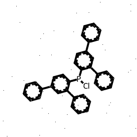 ClP(c1ccc(-c2ccccc2)cc1-c1ccccc1)c1ccc(-c2ccccc2)cc1-c1ccccc1